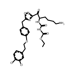 CCOC(=O)NC(=O)NC(CCCCN)C(=O)c1noc(Cc2ccc(OCCc3ccc(Cl)c(Cl)c3)cc2)n1